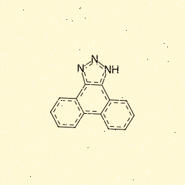 c1ccc2c(c1)c1ccccc1c1[nH]nnc21